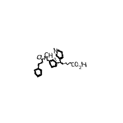 CN(C(=O)CCc1ccccc1)c1cccc(C(=CCCCC(=O)O)c2cccnc2)c1